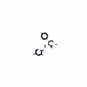 CN1C[C@H](c2ccc(C(F)(F)F)cc2)[C@@H](C(=O)Nc2ncc(F)cc2F)C1=O